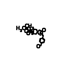 CC(C)(C)OC(=O)N1CCC2(CC1)CC(=O)N(Cc1ccc(C=O)cc1)C2